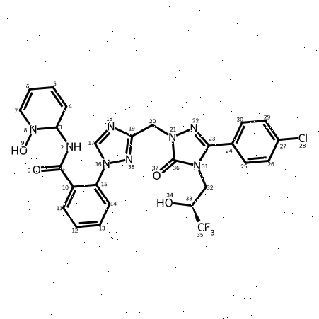 O=C(NC1C=CC=CN1O)c1ccccc1-n1cnc(Cn2nc(-c3ccc(Cl)cc3)n(C[C@H](O)C(F)(F)F)c2=O)n1